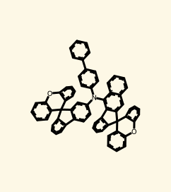 c1ccc(-c2ccc(N(c3ccc4c(c3)C3(c5ccccc5Oc5ccccc53)c3ccccc3-4)c3c4c(cc5ccccc35)C3(c5ccccc5Oc5ccccc53)c3ccccc3-4)cc2)cc1